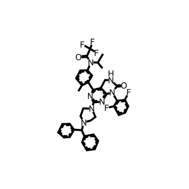 Cc1ccc(N(C(=O)C(F)(F)F)C(C)C)cc1-c1nc(N2CCN(C(c3ccccc3)c3ccccc3)CC2)nc2c1CNC(=O)N2c1c(F)cccc1F